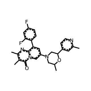 Cc1cc(C2CN(c3cc(-c4ccc(F)cc4F)c4nc(C)c(C)c(=O)n4c3)CC(C)O2)ccn1